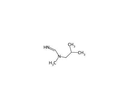 CC(C)CN(C)C=N